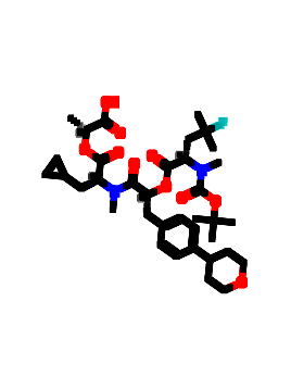 C[C@@H](OC(=O)[C@H](CC1CC1)N(C)C(=O)[C@@H](Cc1ccc(C2CCOCC2)cc1)OC(=O)[C@H](CC(C)(C)F)N(C)C(=O)OC(C)(C)C)C(=O)O